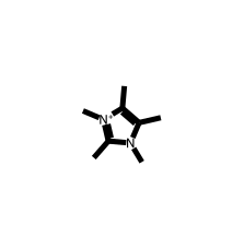 Cc1c(C)[n+](C)c(C)n1C